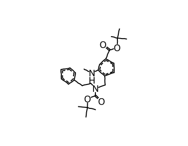 CNc1cc(C(=O)OC(C)(C)C)ccc1CN(CCc1ccccc1)C(=O)OC(C)(C)C